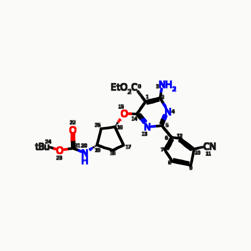 CCOC(=O)c1c(N)nc(-c2cccc(C#N)c2)nc1O[C@@H]1CC[C@H](NC(=O)OC(C)(C)C)C1